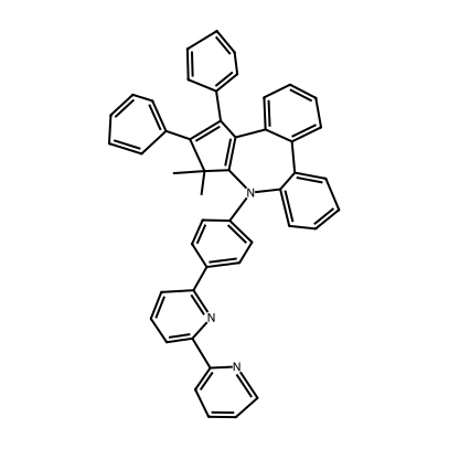 CC1(C)C(c2ccccc2)=C(c2ccccc2)C2=C1N(c1ccc(-c3cccc(-c4ccccn4)n3)cc1)c1ccccc1-c1ccccc12